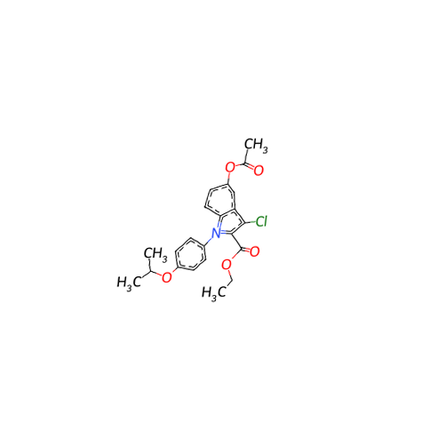 CCOC(=O)c1c(Cl)c2cc(OC(C)=O)ccc2n1-c1ccc(OC(C)C)cc1